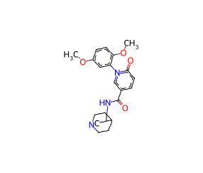 COc1ccc(OC)c(-n2cc(C(=O)NC3CN4CCC3CC4)ccc2=O)c1